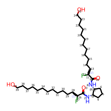 O=C(N[C@H]1CCC[C@H]1NC(=O)/C(F)=C/CCCCCCCCCCCO)/C(F)=C/CCCCCCCCCCCO